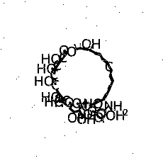 C[C@@H]1OC(=O)CC(O)CC(O)CC(O)CCC(O)C(O)CC2(O)C[C@H](O)C(C(=O)O)[C@H](CC(OC3O[C@H](C)C(O)[C@H](N)[C@@H]3O)/C=C/C=C/C=C/C=C/CC/C=C/C=C/[C@H](C)C(O)[C@H]1C)O2